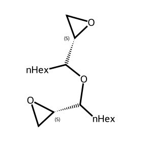 CCCCCCC(OC(CCCCCC)[C@@H]1CO1)[C@@H]1CO1